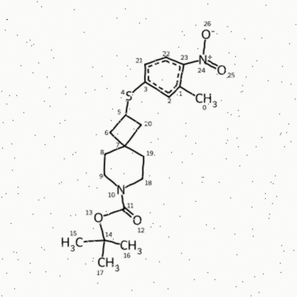 Cc1cc(SC2CC3(CCN(C(=O)OC(C)(C)C)CC3)C2)ccc1[N+](=O)[O-]